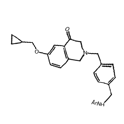 CC(=O)NCc1ccc(CN2CC(=O)c3cc(OCC4CC4)ccc3C2)cc1